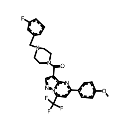 COc1ccc(-c2cc(C(F)(F)F)n3ncc(C(=O)N4CCN(Cc5cccc(F)c5)CC4)c3n2)cc1